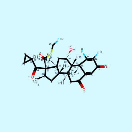 C[C@@H]1C[C@H]2[C@@H]3CC(=O)C4=CC(=O)C(F)=C(F)[C@]4(C)[C@H]3[C@@H](O)C[C@]2(C)[C@@]1(C(=O)SCF)C(=O)C1(C)CC1